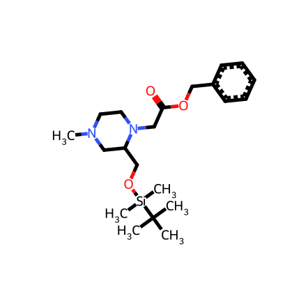 CN1CCN(CC(=O)OCc2ccccc2)C(CO[Si](C)(C)C(C)(C)C)C1